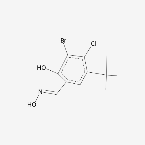 CC(C)(C)c1cc(C=NO)c(O)c(Br)c1Cl